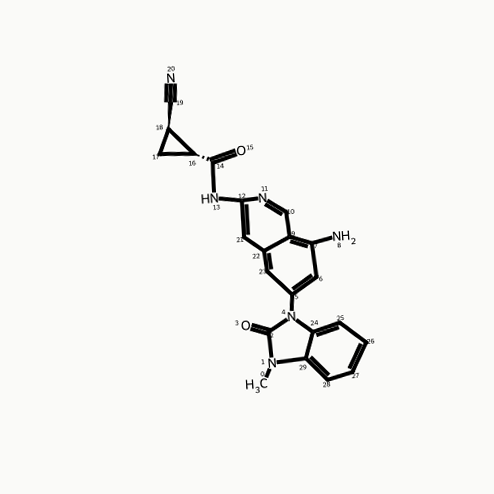 Cn1c(=O)n(-c2cc(N)c3cnc(NC(=O)[C@@H]4C[C@H]4C#N)cc3c2)c2ccccc21